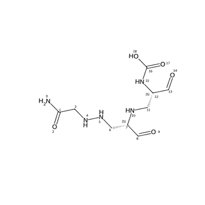 NC(=O)CNNC[C@@H](C=O)NC[C@@H](C=O)NC(=O)O